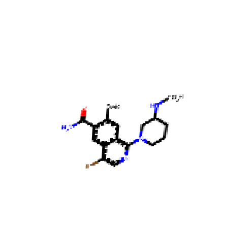 COc1cc2c(N3CCCC(NC(=O)O)C3)ncc(Br)c2cc1C(N)=O